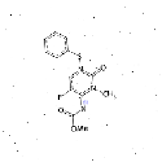 COC(=O)/N=c1\c(F)cn(Sc2ccccc2)c(=O)n1C